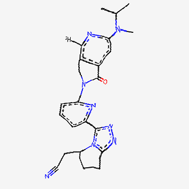 [2H]c1nc(N(C)C(C)C)cc2c1CN(c1cccc(-c3nnc4n3C(CC#N)CC4)n1)C2=O